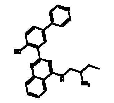 CCC(N)CNc1nc(-c2cc(-c3ccncc3)ccc2O)nc2ccccc12